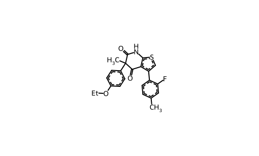 CCOc1ccc(C2(C)C(=O)Nc3scc(-c4ccc(C)cc4F)c3C2=O)cc1